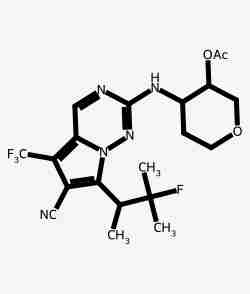 CC(=O)OC1COCCC1Nc1ncc2c(C(F)(F)F)c(C#N)c(C(C)C(C)(C)F)n2n1